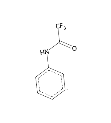 O=C(Nc1c[c]ccc1)C(F)(F)F